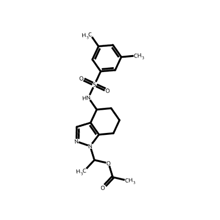 CC(=O)OC(C)n1ncc2c1CCCC2NS(=O)(=O)c1cc(C)cc(C)c1